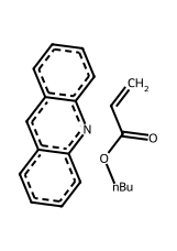 C=CC(=O)OCCCC.c1ccc2nc3ccccc3cc2c1